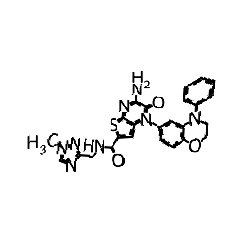 Cn1cnc(CNC(=O)c2cc3c(nc(N)c(=O)n3-c3ccc4c(c3)N(c3ccccc3)CCO4)s2)n1